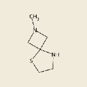 CN1CC2(C1)NCCS2